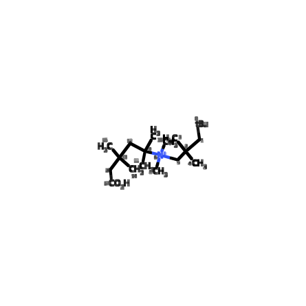 CC(C)(C)CC(C)(C)C[N+](C)(C)C(C)(C)CC(C)(C)CC(=O)O